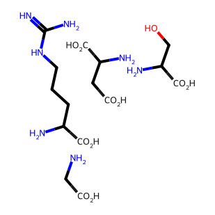 N=C(N)NCCCC(N)C(=O)O.NC(CC(=O)O)C(=O)O.NC(CO)C(=O)O.NCC(=O)O